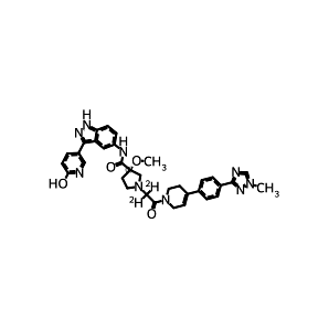 [2H]C([2H])(C(=O)N1CC=C(c2ccc(-c3ncn(C)n3)cc2)CC1)N1CC[C@@](OC)(C(=O)Nc2ccc3[nH]nc(-c4ccc(O)nc4)c3c2)C1